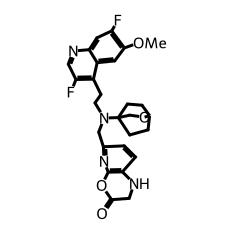 COc1cc2c(CCN(Cc3ccc4c(n3)OC(=O)CN4)C34CCC(CC3)OC4)c(F)cnc2cc1F